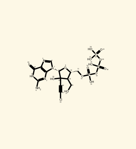 Nc1nc2c(ncn2[C@@H]2O[C@H](COP(=O)(O)OP(=O)(O)OP(=O)(O)O)C(CO)C2(O)C#CCl)c(=S)[nH]1